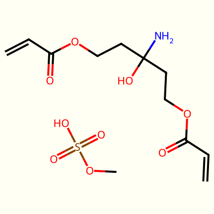 C=CC(=O)OCCC(N)(O)CCOC(=O)C=C.COS(=O)(=O)O